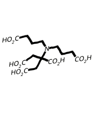 O=C(O)CCCN(CCCC(=O)O)C(CC(=O)O)(CC(=O)O)C(=O)O